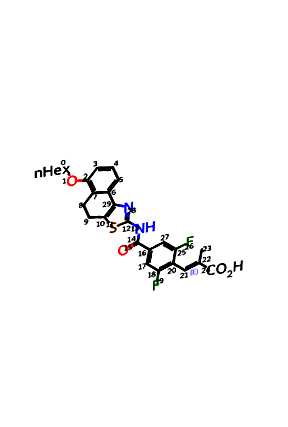 CCCCCCOc1cccc2c1CCc1sc(NC(=O)c3cc(F)c(/C=C(\C)C(=O)O)c(F)c3)nc1-2